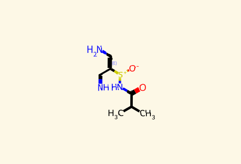 CC(C)C(=O)N[S+]([O-])/C(C=N)=C/N